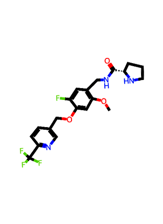 COc1cc(OCc2ccc(C(F)(F)F)nc2)c(F)cc1CNC(=O)[C@@H]1CCCN1